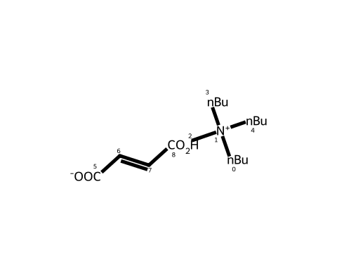 CCCC[N+](C)(CCCC)CCCC.O=C([O-])C=CC(=O)O